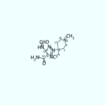 CN1CCC(CC#N)(n2cc(C(N)=O)c(NC=O)n2)CC1